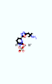 CC(C)(N)Cc1nnc([C@@H]2CC[C@@H]3CN2C(=O)N3OS(=O)(=O)[O-])o1.[H+]